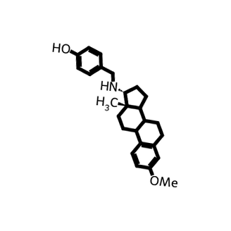 COc1ccc2c(c1)CCC1C2CC[C@@]2(C)C1CC[C@H]2NCc1ccc(O)cc1